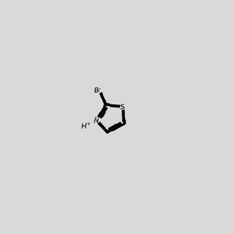 Brc1nccs1.[H+]